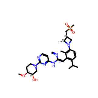 C=N/C(=C\c1c(C(C)C)ccc(N2C[C@H](CS(C)(=O)=O)[C@H]2C)c1C)Nc1ccnc(N2CC[C@H](OC)[C@H](O)C2)n1